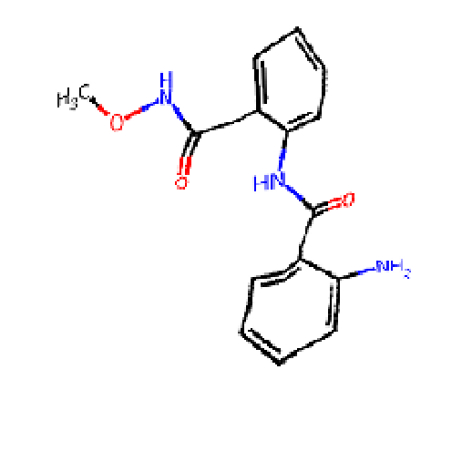 CONC(=O)c1ccccc1NC(=O)c1ccccc1N